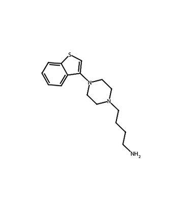 NCCCCN1CCN(c2csc3ccccc23)CC1